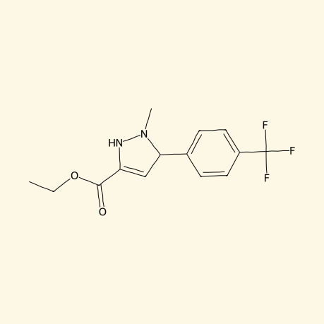 CCOC(=O)C1=CC(c2ccc(C(F)(F)F)cc2)N(C)N1